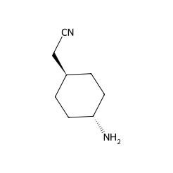 N#CC[C@H]1CC[C@H](N)CC1